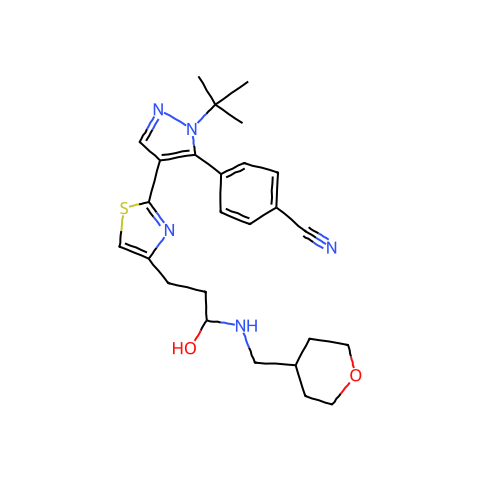 CC(C)(C)n1ncc(-c2nc(CCC(O)NCC3CCOCC3)cs2)c1-c1ccc(C#N)cc1